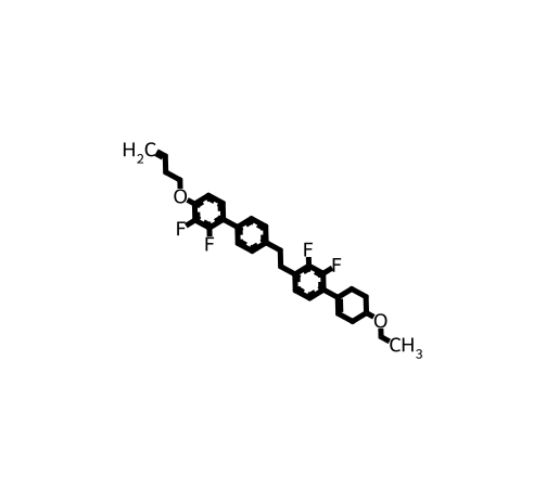 C=CCCOc1ccc(-c2ccc(CCc3ccc(C4=CCC(OCC)CC4)c(F)c3F)cc2)c(F)c1F